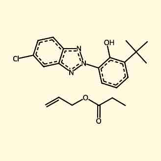 C=CCOC(=O)CC.CC(C)(C)c1cccc(-n2nc3ccc(Cl)cc3n2)c1O